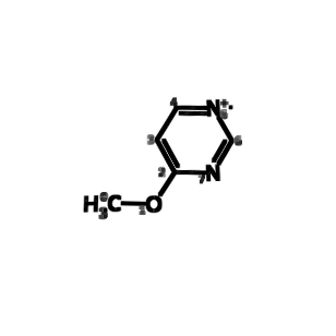 COC1=CC=[N+]C=N1